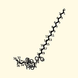 CCCCCCCCCCCCCCCCCCCCCC(=O)OC[C@H](CO)OP(=O)([O-])OCC[N+](C)(C)C